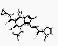 Cc1nn2c(O)c(C(=O)NC3CC3)c(=O)n(CC(C)C)c2c1C=CC(=O)N1CCCC1C